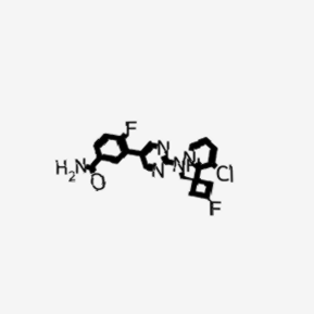 NC(=O)c1ccc(F)c(-c2cnc(NC[C@]3(c4ncccc4Cl)C[C@@H](F)C3)nc2)c1